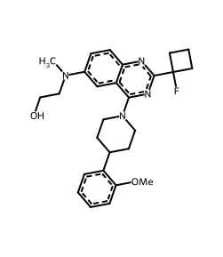 COc1ccccc1C1CCN(c2nc(C3(F)CCC3)nc3ccc(N(C)CCO)cc23)CC1